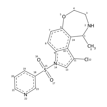 CC1NCCOc2ccc3c(c(Cl)cn3S(=O)(=O)c3cccnc3)c21